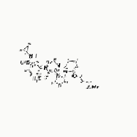 CNCCCOc1ccccc1[C@H]1CCCN1c1nccn(-c2cc(C(=O)NC3CC3)ccc2C)c1=O